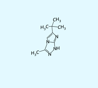 Cc1n[nH]c2nc(C(C)(C)C)cn12